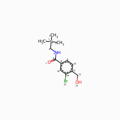 C[Si](C)(C)CNC(=O)c1ccc(CO)c(Br)c1